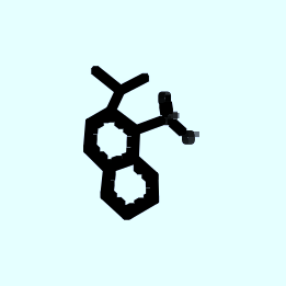 CC(C)c1ccc2ccccc2c1[N+](=O)[O-]